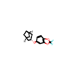 FC1(F)Oc2ccc(O[C@@H]3C[C@@H]4CC[C@@H](C4)C3)cc2O1